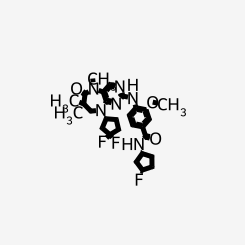 COc1cc(C(=O)N[C@@H]2CC[C@@H](F)C2)ccc1Nc1ncc2c(n1)N([C@@H]1CCC(F)(F)C1)CC(C)(C)C(=O)N2C